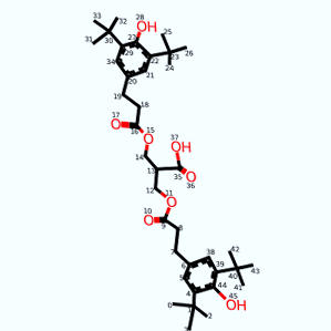 CC(C)(C)c1cc(CCC(=O)OCC(COC(=O)CCc2cc(C(C)(C)C)c(O)c(C(C)(C)C)c2)C(=O)O)cc(C(C)(C)C)c1O